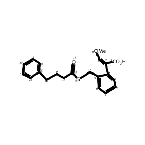 COC=C(C(=O)O)c1ccccc1CSC(=O)CCCc1ccccc1